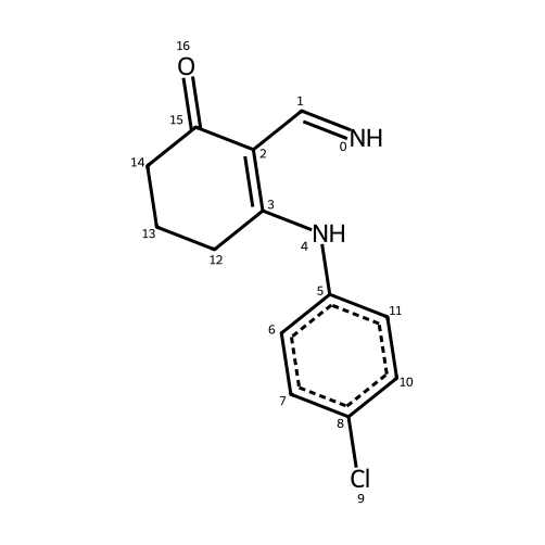 N=CC1=C(Nc2ccc(Cl)cc2)CCCC1=O